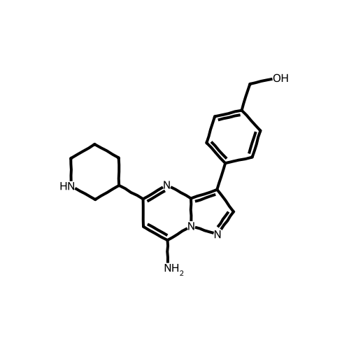 Nc1cc(C2CCCNC2)nc2c(-c3ccc(CO)cc3)cnn12